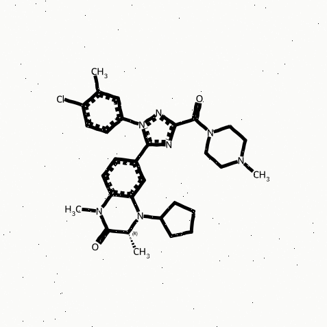 Cc1cc(-n2nc(C(=O)N3CCN(C)CC3)nc2-c2ccc3c(c2)N(C2CCCC2)[C@H](C)C(=O)N3C)ccc1Cl